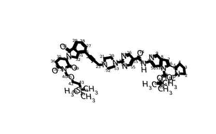 CN1CCC[C@@H]1c1cc2cnc(NC(=O)c3cnc(N4CCN(CC#Cc5cccc6c5CN(C5CCC(=O)N(COCC[Si](C)(C)C)C5=O)C6=O)CC4)nc3)cc2n1C(=O)OC(C)(C)C